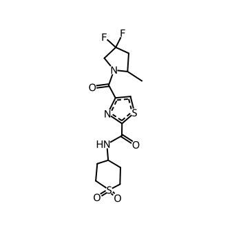 CC1CC(F)(F)CN1C(=O)c1csc(C(=O)NC2CCS(=O)(=O)CC2)n1